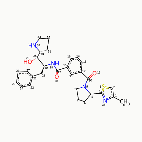 Cc1csc([C@H]2CCCN2C(=O)c2cccc(C(=O)N[C@@H](Cc3ccccc3)[C@H](O)[C@H]3CCCN3)c2)n1